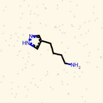 NCCCCc1cn[nH]c1